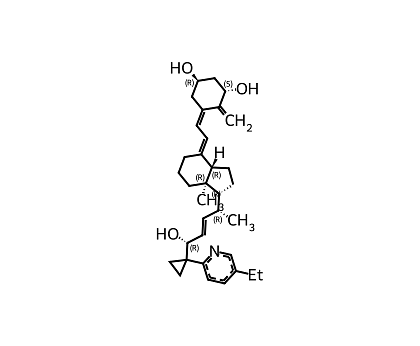 C=C1C(=CC=C2CCC[C@]3(C)[C@@H]([C@H](C)C=C[C@@H](O)C4(c5ccc(CC)cn5)CC4)CC[C@@H]23)C[C@@H](O)C[C@@H]1O